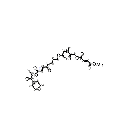 COC(=O)/C=C/C(=O)OCC(=O)N(C)CC(=O)OCCCOC(=O)/C=C/C(=O)OC(C)C(=O)N1CCOCC1